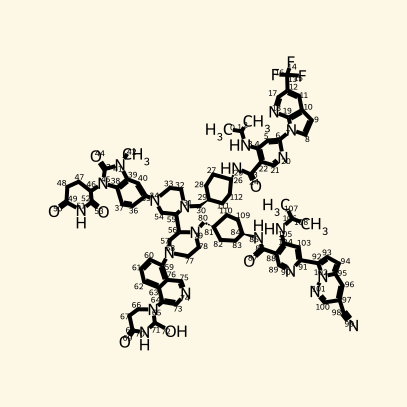 CC(C)Nc1cc(-n2ccc3cc(C(F)(F)F)cnc32)ncc1C(=O)N[C@H]1CC[C@H](CN2CCN(c3ccc4c(c3)n(C)c(=O)n4C3CCC(=O)NC3=O)CC2C2CN(c3cccc4c(N5CCC(=O)NC5O)cncc34)CCN2C[C@H]2CC[C@H](NC(=O)c3cnc(-c4ccc5cc(C#N)cnn45)cc3NC(C)C)CC2)CC1